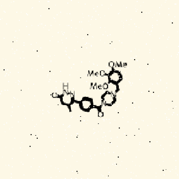 COc1ccc(CN2CCN(C(=O)c3ccc(C4=NNC(=O)CC4C)cc3)CC2)c(OC)c1OC